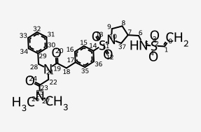 C=CS(=O)(=O)NCC1CCN(S(=O)(=O)c2ccc(CC(=O)N(CC(=O)N(C)C)Cc3ccccc3)cc2)C1